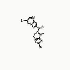 CN1c2nc(Br)cn2CCN1C(=O)c1cc2ncc(Cl)cn2n1